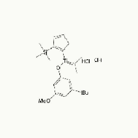 COc1cc([O][Ti]([C]2=C([Si](C)(C)C)C=CC2)=[C](C)C)cc(C(C)(C)C)c1.Cl.Cl